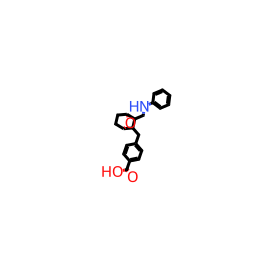 O=C(O)c1ccc(CC2C3CCC(O3)C2CNc2ccccc2)cc1